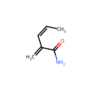 C=C(/C=C\C)C(N)=O